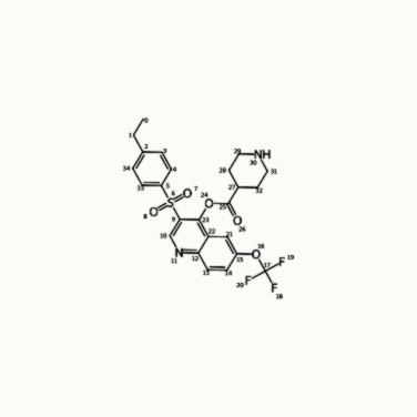 CCc1ccc(S(=O)(=O)c2cnc3ccc(OC(F)(F)F)cc3c2OC(=O)C2CCNCC2)cc1